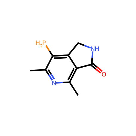 Cc1nc(C)c2c(c1P)CNC2=O